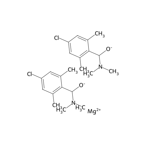 Cc1cc(Cl)cc(C)c1C([O-])N(C)C.Cc1cc(Cl)cc(C)c1C([O-])N(C)C.[Mg+2]